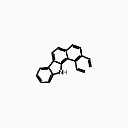 C=Cc1ccc2ccc3c4ccccc4[nH]c3c2c1C=C